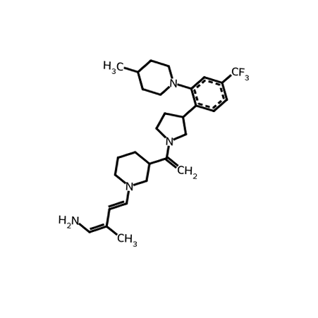 C=C(C1CCCN(/C=C/C(C)=C\N)C1)N1CCC(c2ccc(C(F)(F)F)cc2N2CCC(C)CC2)C1